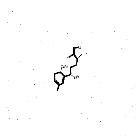 CC/C=C(/F)[C@@H](C)CC[C@H](CCC)C1=CC(C)=CC[C@@H]1OC